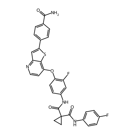 NC(=O)c1ccc(-c2cc3nccc(Oc4ccc(NC(=O)C5(C(=O)Nc6ccc(F)cc6)CC5)cc4F)c3s2)cc1